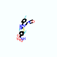 O=C(NO)c1cc(F)c(Sc2nnc(-c3ccc(F)cc3)n2CCN2CCOCC2)c(F)c1